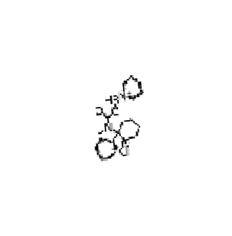 CN(C(=O)OB[n+]1ccccc1)C1(c2ccccc2Cl)CCCCC1=O